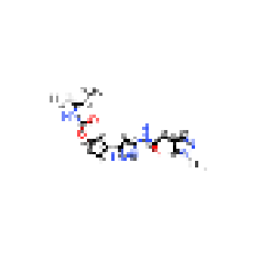 CC(CC(F)(F)F)NC(=O)O[C@@H]1CC[C@H](c2cc(NC(=O)Cc3cnn(C)c3)n[nH]2)C1